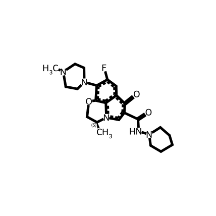 C[C@H]1COc2c(N3CCN(C)CC3)c(F)cc3c(=O)c(C(=O)NN4CCCCC4)cn1c23